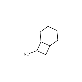 N#CC1CC2CCCCC12